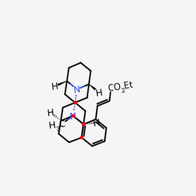 CCOC(=O)/C=C/c1ccccc1N(C)[C@H]1C[C@H]2CCC[C@@H](C1)N2[C@H]1C[C@@H]2CCC[C@@H](C2)C1